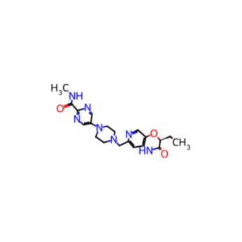 CC[C@@H]1Oc2cnc(CN3CCN(c4cnc(C(=O)NC)nc4)CC3)cc2NC1=O